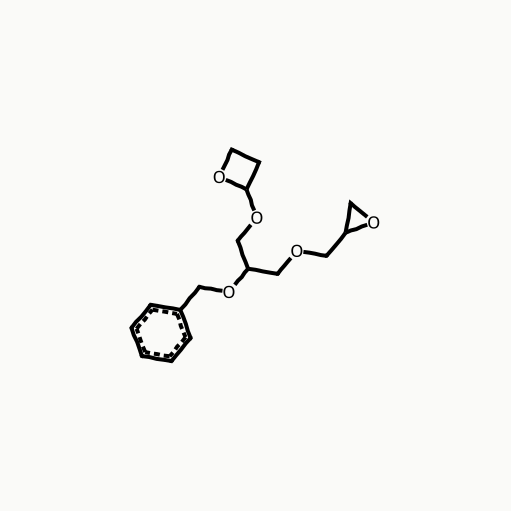 c1ccc(COC(COCC2CO2)COC2CCO2)cc1